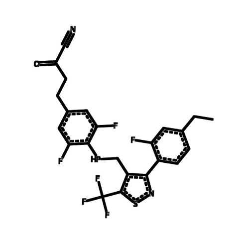 CCc1ccc(-c2nsc(C(F)(F)F)c2CPc2c(F)cc(CCC(=O)C#N)cc2F)c(F)c1